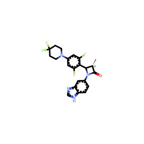 C[C@@H]1C(=O)N(c2ccc3[nH]cnc3c2)C1c1c(F)cc(N2CCC(F)(F)CC2)cc1F